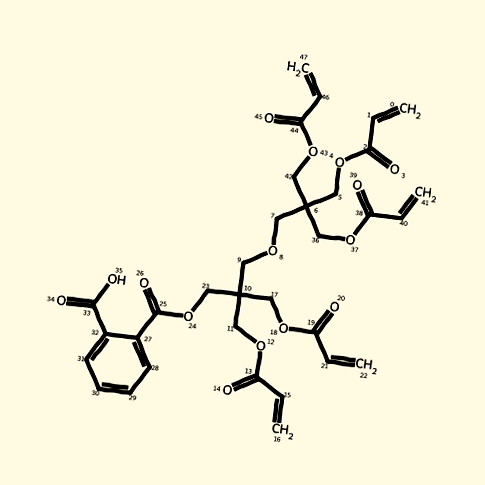 C=CC(=O)OCC(COCC(COC(=O)C=C)(COC(=O)C=C)COC(=O)c1ccccc1C(=O)O)(COC(=O)C=C)COC(=O)C=C